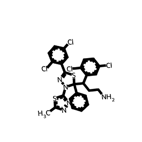 Cc1nnc(N2N=C(c3cc(Cl)ccc3Cl)SC2(c2ccccc2)C(CCN)c2cc(Cl)ccc2Cl)s1